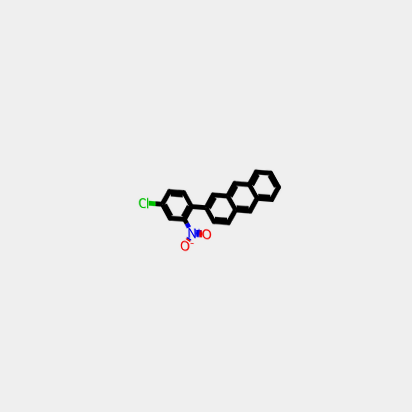 O=[N+]([O-])c1cc(Cl)ccc1-c1ccc2cc3ccccc3cc2c1